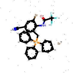 N#Cc1cc(Br)c(NC(=O)C(F)(F)F)c(C[P+](c2ccccc2)(c2ccccc2)c2ccccc2)c1.[Br-]